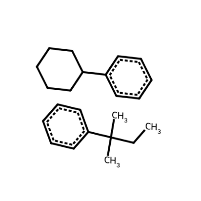 CCC(C)(C)c1ccccc1.c1ccc(C2CCCCC2)cc1